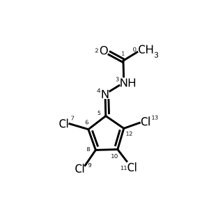 CC(=O)NN=C1C(Cl)=C(Cl)C(Cl)=C1Cl